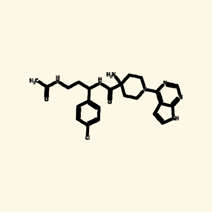 CC(=O)NCCC(NC(=O)C1(N)CCN(c2ncnc3[nH]ccc23)CC1)c1ccc(Cl)cc1